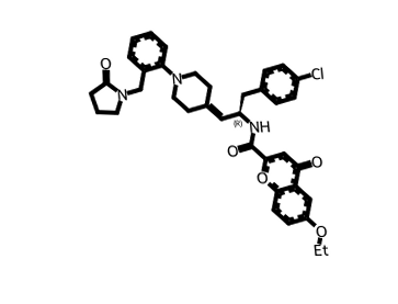 CCOc1ccc2oc(C(=O)N[C@@H](C=C3CCN(c4ccccc4CN4CCCC4=O)CC3)Cc3ccc(Cl)cc3)cc(=O)c2c1